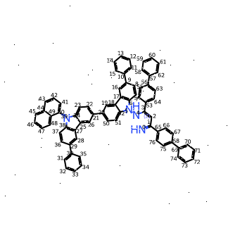 N=C(/C=C(\Nn1c2ccc(-c3ccccc3)cc2c2cc(-c3ccc4c(c3)c3cc(-c5ccccc5)ccc3n4-c3cccc4ccccc34)ccc21)c1ccc(-c2ccccc2)cc1)c1ccc(-c2ccccc2)cc1